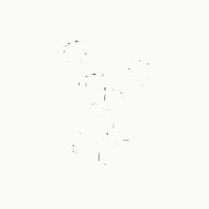 CC1(C)CC2C3CC(C(OC(=O)c4ccccc4)C3OC(=O)c3ccccc3)C2C(C)(C)C1